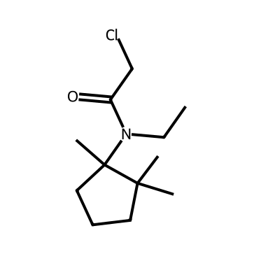 CCN(C(=O)CCl)C1(C)CCCC1(C)C